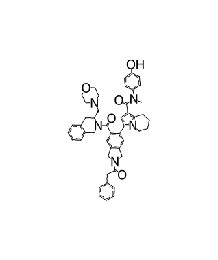 CN(C(=O)c1cc(-c2cc3c(cc2C(=O)N2Cc4ccccc4C[C@H]2CN2CCOCC2)CN(C(=O)Cc2ccccc2)C3)n2c1CCCC2)c1ccc(O)cc1